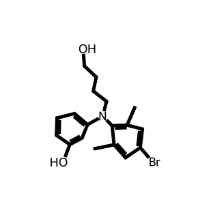 Cc1cc(Br)cc(C)c1N(CCCCO)c1cccc(O)c1